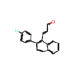 O=C/C=C/c1c(-c2ccc(F)cc2)ccc2ccccc12